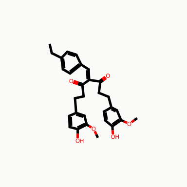 CCc1ccc(C=C(C(=O)CCc2ccc(O)c(OC)c2)C(=O)CCc2ccc(O)c(OC)c2)cc1